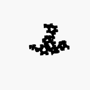 Cc1noc(-c2ncn3c2Cc2c(Cc4cccc(F)c4)nnn2-c2cc(OC(F)(F)F)ccc2-3)n1